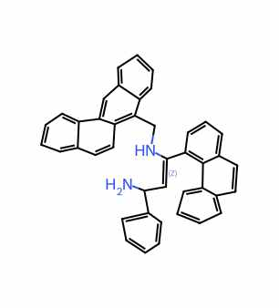 NC(/C=C(\NCc1c2ccccc2cc2c1ccc1ccccc12)c1cccc2ccc3ccccc3c12)c1ccccc1